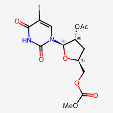 COC(=O)OC[C@@H]1C[C@@H](OC(C)=O)[C@H](n2cc(I)c(=O)[nH]c2=O)O1